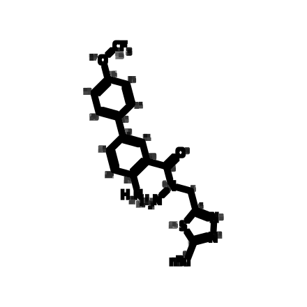 CCCCc1nnc(CN(N)C(=O)c2cc(-c3ccc(OC(F)(F)F)cc3)ccc2N)s1